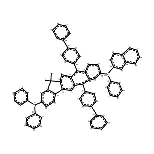 CC1(C)c2cc(N(c3ccccc3)c3ccccc3)ccc2-c2cc3c(-c4ccc(-c5ccccc5)cc4)c4cc(N(c5ccccc5)c5ccc6ccccc6c5)ccc4c(-c4ccc(-c5ccccc5)cc4)c3cc21